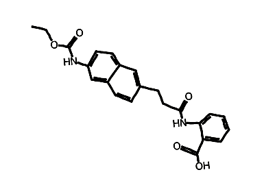 CCOC(=O)Nc1ccc2cc(CCC(=O)Nc3ccccc3C(=O)O)ccc2c1